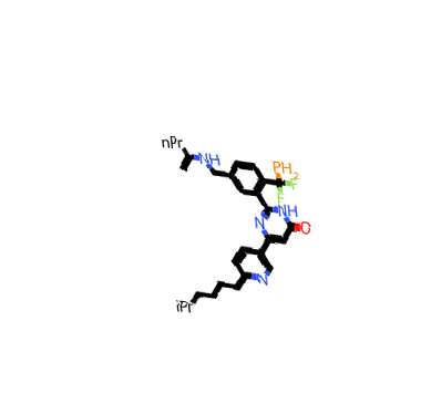 C=C(CCC)NCc1ccc(C(F)(F)P)c(-c2nc(-c3ccc(CCCCC(C)C)nc3)cc(=O)[nH]2)c1